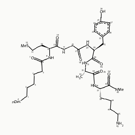 CCCCCCCCCCCCCCCC(=O)N[C@@H](CCSC)C(=O)NCC(=O)N[C@@H](Cc1ccc(O)cc1)C(=O)N[C@@H](C)C(=O)N[C@@H](CCCCN)C(=O)NC